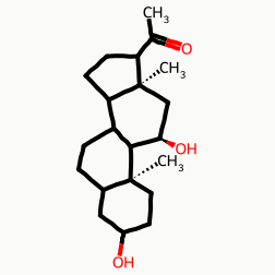 CC(=O)C1CCC2C3CCC4CC(O)CC[C@]4(C)C3[C@H](O)C[C@]12C